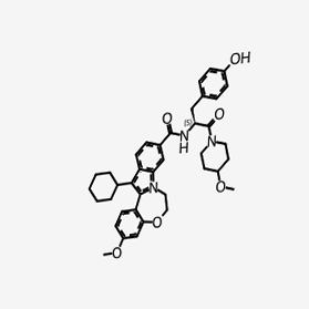 COc1ccc2c(c1)OCCn1c-2c(C2CCCCC2)c2ccc(C(=O)N[C@@H](Cc3ccc(O)cc3)C(=O)N3CCC(OC)CC3)cc21